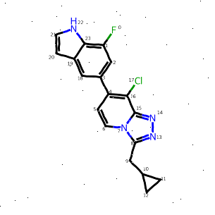 Fc1cc(-c2ccn3c(CC4CC4)nnc3c2Cl)cc2cc[nH]c12